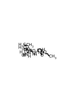 CCCCON1C(=O)N2C[C@@H]1CC[C@H]2c1nnc(C(CO)NC(C)(N=C=O)NC(=O)OC(C)(C)C)o1